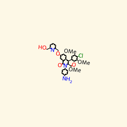 COC(=O)c1c(-c2cc(OC)c(Cl)c(OC)c2)c2ccc(OCc3cccc(CO)n3)cc2c(=O)n1-c1ccc(N)cc1